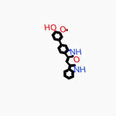 COc1cc(-c2ccc3c(c2)NC(=O)C3=Cc2c[nH]c3ccccc23)ccc1O